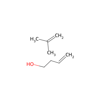 C=C(C)C.C=CCCO